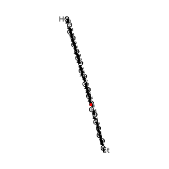 CCOCCOCCOCCOCCOCCOCCOCCOCCOCCOCCOCCOCCOCCOCCOCCOCCOCCOCCOCCOCCO